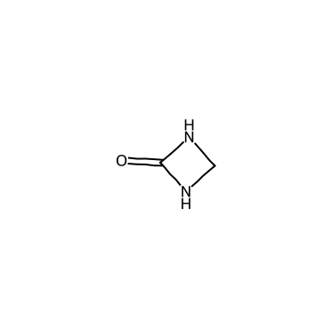 O=C1NCN1